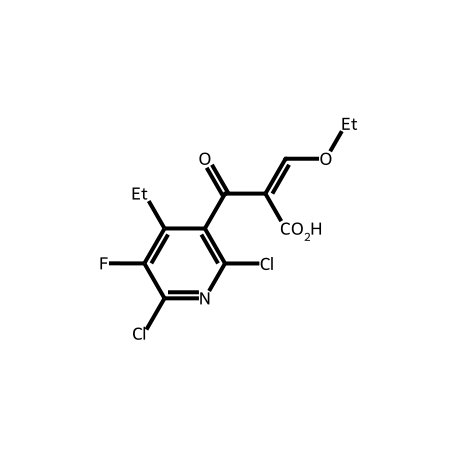 CCO/C=C(\C(=O)O)C(=O)c1c(Cl)nc(Cl)c(F)c1CC